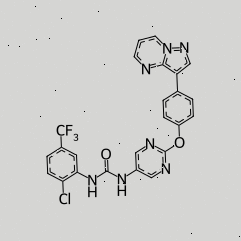 O=C(Nc1cnc(Oc2ccc(-c3cnn4cccnc34)cc2)nc1)Nc1cc(C(F)(F)F)ccc1Cl